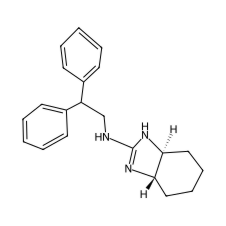 c1ccc(C(CNC2=N[C@H]3CCCC[C@@H]3N2)c2ccccc2)cc1